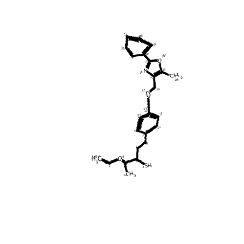 CCOC(C)C(S)CCc1ccc(OCc2nc(-c3ccccc3)oc2C)cc1